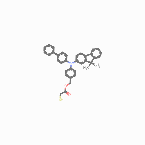 CC1(C)c2ccccc2-c2ccc(N(c3ccc(COC(=O)CS)cc3)c3ccc(-c4ccccc4)cc3)cc21